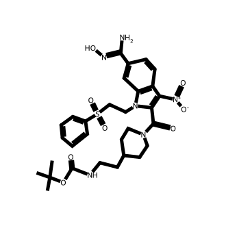 CC(C)(C)OC(=O)NCCC1CCN(C(=O)c2c([N+](=O)[O-])c3ccc(C(N)=NO)cc3n2CCS(=O)(=O)c2ccccc2)CC1